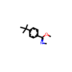 C/N=C(\OC)c1ccc(C(C)(C)C)cc1